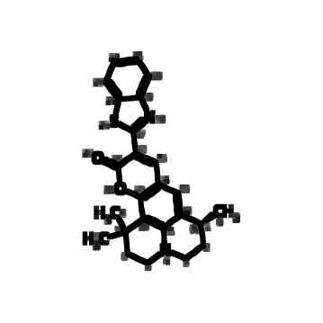 C[C@H]1CCN2CCC(C)(C)c3c2c1cc1cc(-c2nc4ccccc4s2)c(=O)oc31